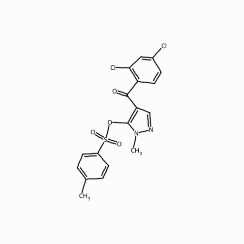 Cc1ccc(S(=O)(=O)Oc2c(C(=O)c3ccc(Cl)cc3Cl)cnn2C)cc1